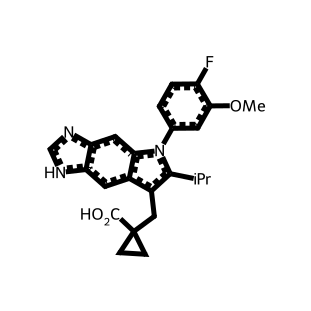 COc1cc(-n2c(C(C)C)c(CC3(C(=O)O)CC3)c3cc4[nH]cnc4cc32)ccc1F